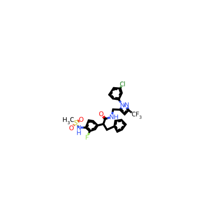 CS(=O)(=O)Nc1ccc(C(Cc2ccccc2)C(=O)NCc2cc(C(F)(F)F)nn2-c2cccc(Cl)c2)cc1F